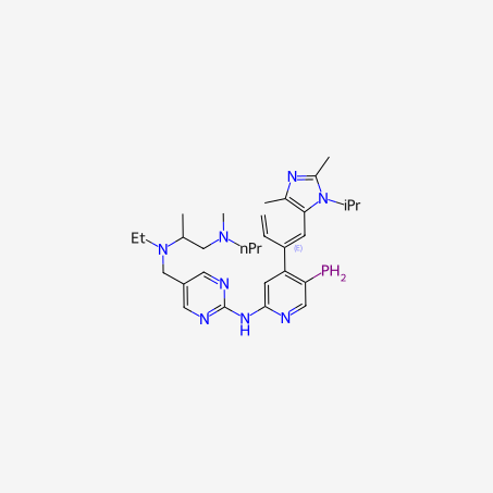 C=C/C(=C\c1c(C)nc(C)n1C(C)C)c1cc(Nc2ncc(CN(CC)C(C)CN(C)CCC)cn2)ncc1P